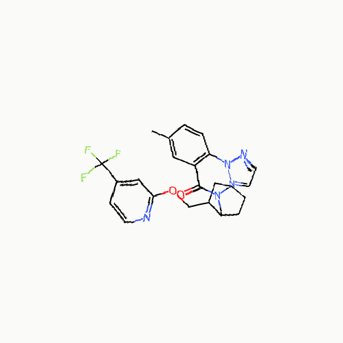 Cc1ccc(-n2nccn2)c(C(=O)N2C3CCC2C(COc2cc(C(F)(F)F)ccn2)C3)c1